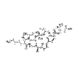 CCCCC[C@@H](C(=O)NCNC(=O)c1ccc(-c2ccc(C(=O)N[C@@H](CC(=O)O)C(=O)O)c(OCC)c2)o1)[C@@H](CC)N(C=O)OCO[PH](O)(O)O